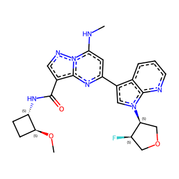 CNc1cc(-c2cn([C@H]3COC[C@H]3F)c3ncccc23)nc2c(C(=O)N[C@H]3CC[C@@H]3OC)cnn12